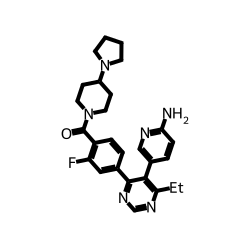 CCc1ncnc(-c2ccc(C(=O)N3CCC(N4CCCC4)CC3)c(F)c2)c1-c1ccc(N)nc1